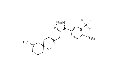 CN1CCCC2(CCN(Cc3nnnn3-c3ccc(C#N)c(C(F)(F)F)c3)CC2)C1